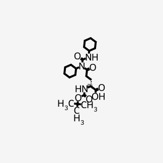 CC(C)(C)OC(=O)N[C@H](CCC(=O)N(C(=O)NC1CCCCC1)C1CCCCC1)C(=O)O